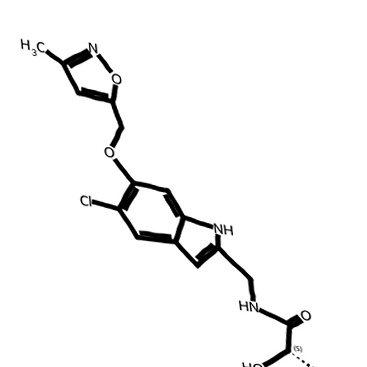 Cc1cc(COc2cc3[nH]c(CNC(=O)[C@H](C)O)cc3cc2Cl)on1